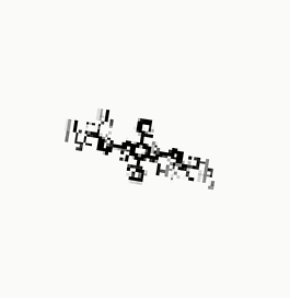 CC(C)(C)c1ccc(-c2cc3c(-c4cccs4)c4sc(-c5ccc(C(C)(C)C)s5)cc4c(-c4cccs4)c3s2)s1